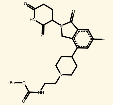 CC(C)(C)OC(=O)NCCN1CCC(c2cc(F)cc3c2CN(C2CCC(=O)NC2=O)C3=O)CC1